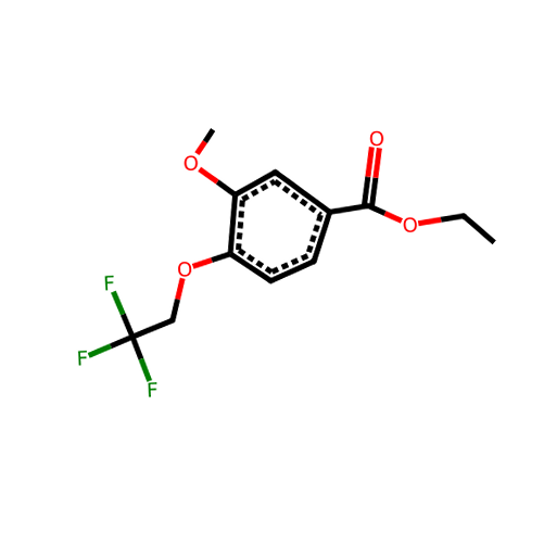 CCOC(=O)c1ccc(OCC(F)(F)F)c(OC)c1